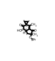 CC1=C2C(=O)[C@@](C)(OC(C)C)C[C@@H]2[C@H](O)C(=O)C12CC2